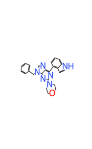 c1ccc(Cn2cnc3c(-c4cccc5[nH]ccc45)nc(N4CCOCC4)nc32)cc1